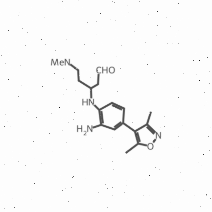 CNCCC(CC=O)Nc1ccc(-c2c(C)noc2C)cc1N